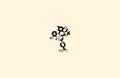 COc1cccc([C@H]2S[C@H](CC(=O)N3CCC(C(=O)O)CC3)C(=O)N3c4c(cc(C)cc42)OC[C@H]3C(C)(C)C)c1OC